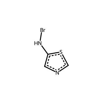 BrNc1cncs1